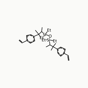 C=Cc1ccc(C(C)(C)C(C)[Si](CC)(CC)O[Si](CC)(CC)C(C)C(C)(C)c2ccc(C=C)cc2)cc1